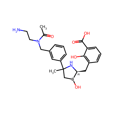 CC(=O)N(CCN)Cc1cccc(C2(C)CB(O)[C@H](Cc3cccc(C(=O)O)c3O)N2)c1